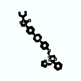 CCC(CC)n1ncn(-c2ccc(N3CCN(c4ccc(OC[C@@H]5CO[C@@](Cn6cccn6)(c6ccccc6)O5)cc4)CC3)cc2)c1=O